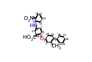 Cc1cc(Oc2ccc(Nc3ccccc3[N+](=O)[O-])cc2C(=O)O)ccc1-c1ccccc1